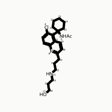 CC(=O)NC1(c2c(Cl)ccc3nc(CCCNCCCO)ccc23)CCCCC1